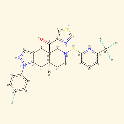 O=C(c1cscn1)[C@]12Cc3cnn(-c4ccc(F)cc4)c3C[C@@H]1CCN(Sc1cccc(C(F)(F)F)n1)C2